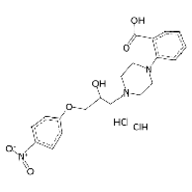 Cl.Cl.O=C(O)c1ccccc1N1CCN(CC(O)COc2ccc([N+](=O)[O-])cc2)CC1